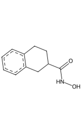 O=C(NO)C1CCc2ccccc2C1